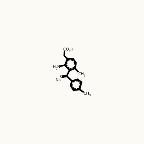 Cc1ccc(C(=S)c2c(C)ccc(CC(=O)O)c2N)cc1.[Na]